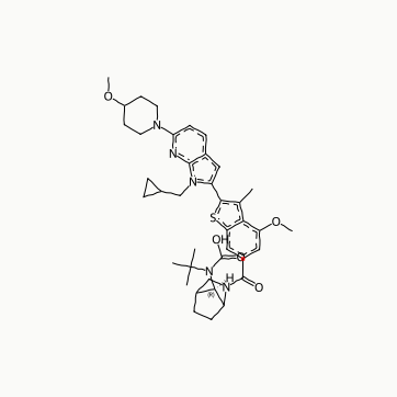 COc1cc(C(=O)N2CC3CCC2[C@@H]3N(C(=O)O)C(C)(C)C)cc2sc(-c3cc4ccc(N5CCC(OC)CC5)nc4n3CC3CC3)c(C)c12